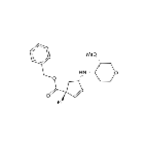 CO[C@@H]1COCC[C@@H]1N[C@@H]1C=C[C@@](C(=O)OCc2ccccc2)(C(C)C)C1